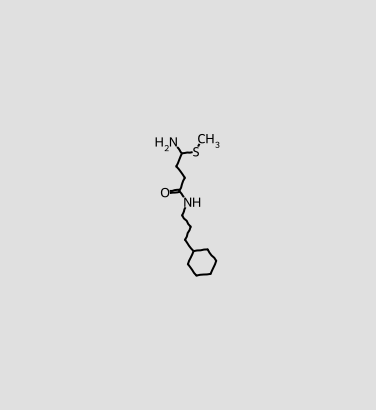 CSC(N)CCC(=O)NCCCC1CCCCC1